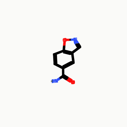 [NH]C(=O)c1ccc2oncc2c1